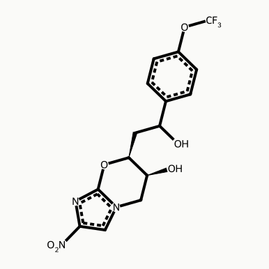 O=[N+]([O-])c1cn2c(n1)O[C@@H](CC(O)c1ccc(OC(F)(F)F)cc1)[C@@H](O)C2